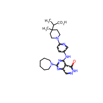 CC(C(=O)O)C1(C)CCN(c2ccc(Nc3nc(N4CCCCCC4)nc4cn[nH]c(=O)c34)cn2)CC1